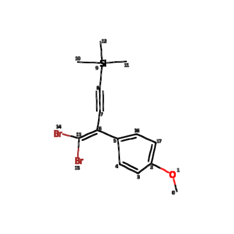 COc1ccc(C(C#C[Si](C)(C)C)=C(Br)Br)cc1